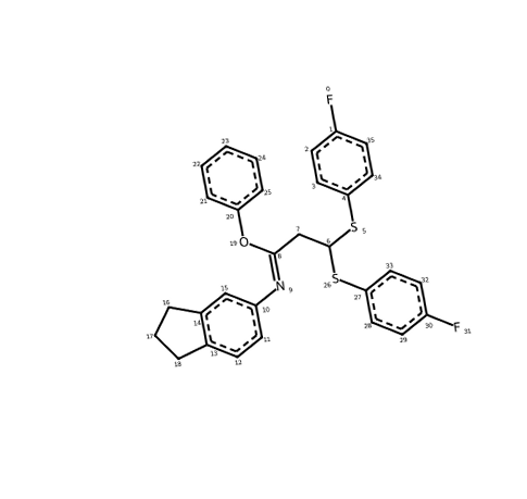 Fc1ccc(SC(CC(=Nc2ccc3c(c2)CCC3)Oc2ccccc2)Sc2ccc(F)cc2)cc1